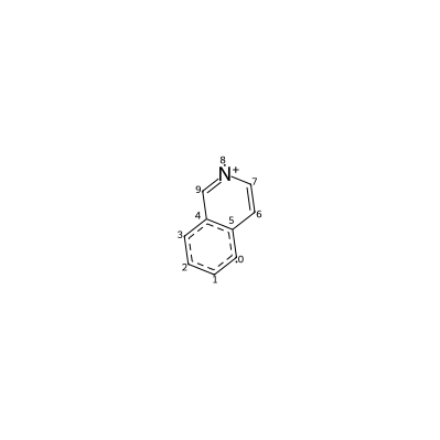 [c]1cccc2c1C=C[N+]=C2